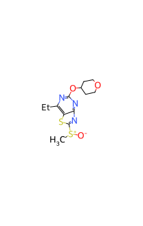 CCc1nc(OC2CCOCC2)nc2nc([S+](C)[O-])sc12